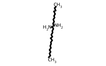 CCCCCCCCCCCCCCCCCC(N)C(N)CCCCCCCCCCC